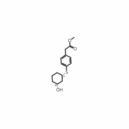 COC(=O)Cc1ccc(S[C@H]2CCC[C@@H](O)C2)cc1